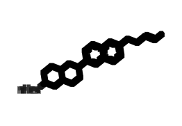 CC=CCCc1ccc2cc(C3CCC4CC(CCCCCC)CCC4C3)ccc2c1